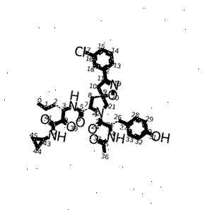 CCC[C@H](NC(=O)[C@@H]1C[C@]2(CC(c3cccc(Cl)c3)=NO2)CN1C(=O)[C@H](Cc1ccc(O)cc1)NC(C)=O)C(=O)C(=O)NC1CC1